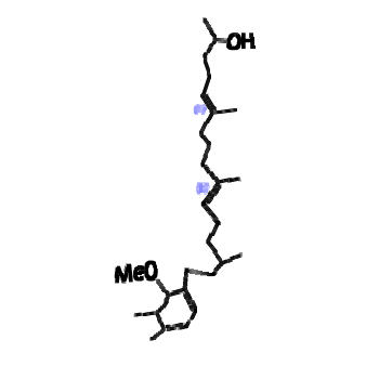 COC1C(CCC(C)CC/C=C(\C)CCC/C(C)=C/CCC(C)O)=CC=C(C)C1C